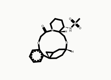 CS(=O)(=O)N[C@H]1CCCN2C(=O)COc3ccccc3[C@@]34CC[C@H](CC3C4)OC[C@@H]12